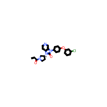 C=CC(=O)N1CC[C@@H](n2c(=O)n(-c3ccc(Oc4cccc(Cl)c4)cc3)c3cnccc32)C1